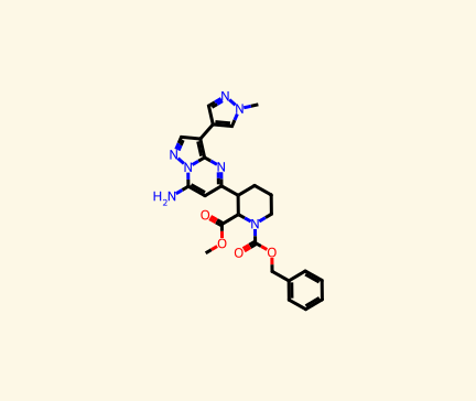 COC(=O)C1C(c2cc(N)n3ncc(-c4cnn(C)c4)c3n2)CCCN1C(=O)OCc1ccccc1